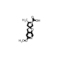 COc1cc2c(cn1)O[C@]1(C2)C[C@H](C)N(C(=O)O)C1